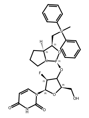 C[Si](C[C@H]1O[P@@](OC2[C@@H](CO)O[C@@H](n3ccc(=O)[nH]c3=O)[C@H]2F)N2CCC[C@@H]12)(c1ccccc1)c1ccccc1